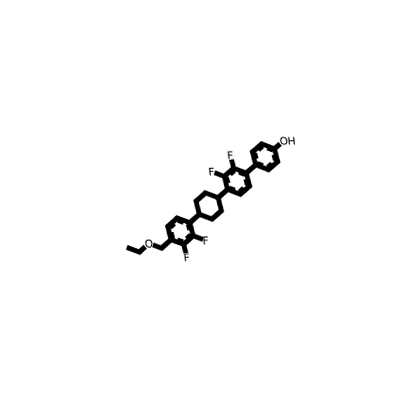 CCOCc1ccc(C2CCC(c3ccc(-c4ccc(O)cc4)c(F)c3F)CC2)c(F)c1F